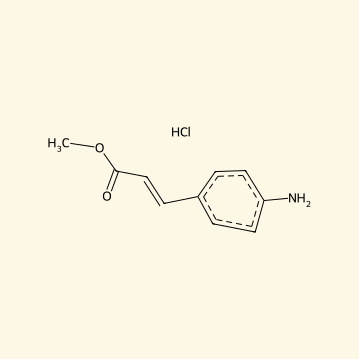 COC(=O)C=Cc1ccc(N)cc1.Cl